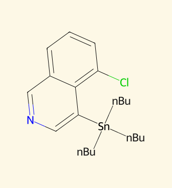 CCC[CH2][Sn]([CH2]CCC)([CH2]CCC)[c]1cncc2cccc(Cl)c12